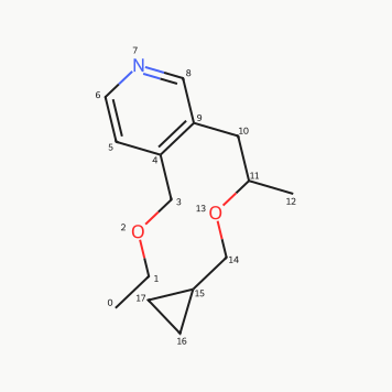 CCOCc1ccncc1CC(C)OCC1CC1